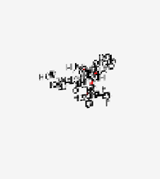 C[C@H](NC(=O)CCCC(=O)ON1C(=O)CCC1=O)C(=O)N(C)[C@@H](CC(=O)O)C(=O)N[C@@H](CC(N)=O)C(=O)N[C@@H](CCN(C(=O)CO)[C@@H](c1cc(-c2cc(F)ccc2F)cn1Cc1ccccc1)C(C)(C)C)C(=O)NCCC(=O)N[C@H](CCC(=O)O)C(=O)O